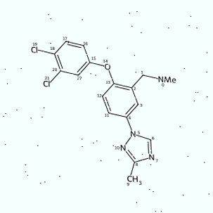 CNCc1cc(-n2cnc(C)n2)ccc1Oc1ccc(Cl)c(Cl)c1